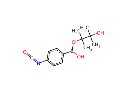 CC(C)(O)C(C)(C)OB(O)c1ccc(N=C=O)cc1